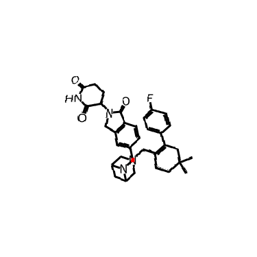 CC1(C)CCC(CN2CC3CC(C2)N3Cc2ccc3c(c2)CN(C2CCC(=O)NC2=O)C3=O)=C(c2ccc(F)cc2)C1